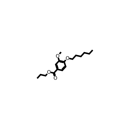 CCCCCCOc1ccc(C(=O)OCCC)cc1OC